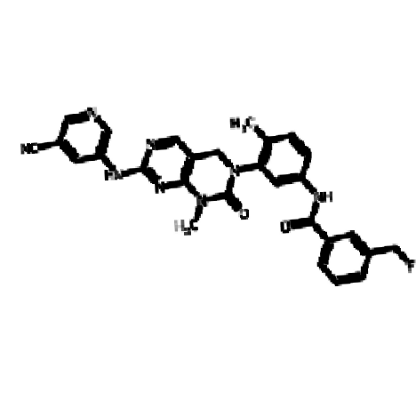 Cc1ccc(NC(=O)c2cccc(CF)c2)cc1N1Cc2cnc(Nc3cncc(C#N)c3)nc2N(C)C1=O